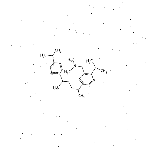 CC(C)c1ccc(C(C)CCC(C)c2cnc(C(C)C)c(CN(C)C)c2)nc1